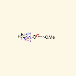 CC/C=C\C(C(=O)NCc1ccc(OCCCCCOC)cc1)=C(/C)N